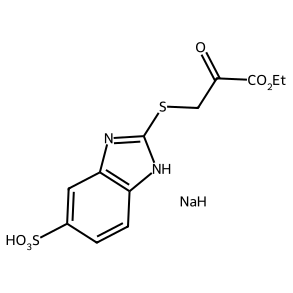 CCOC(=O)C(=O)CSc1nc2cc(S(=O)(=O)O)ccc2[nH]1.[NaH]